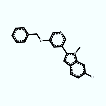 Cn1c(-c2cncc(OCc3ccccc3)c2)cc2ccc(Cl)cc21